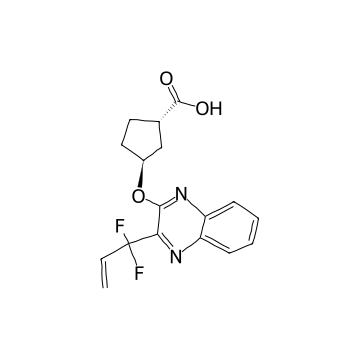 C=CC(F)(F)c1nc2ccccc2nc1O[C@H]1CC[C@H](C(=O)O)C1